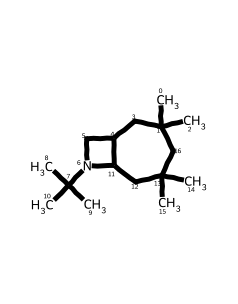 CC1(C)CC2CN(C(C)(C)C)C2CC(C)(C)C1